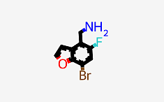 NCc1c(F)cc(Br)c2occc12